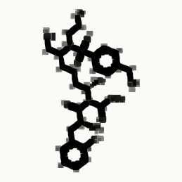 COC(=O)N(C(=O)[C@@H](N)Cc1ccccc1Cl)[C@H](CCC[C@@H](CO)N(CCC(C)C)S(=O)(=O)c1ccc(CO)cc1)C(C)C